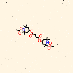 CC(=O)ON1C(C)(C)CC(OC(=O)CCC(=O)OC2CC(C)(C)N(OC(C)=O)C(C)(C)C2)CC1(C)C